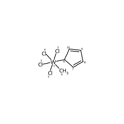 [CH3][W]([Cl])([Cl])([Cl])([Cl])[CH]1C=CC=C1